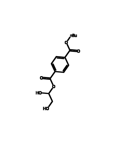 CCCCOC(=O)c1ccc(C(=O)OC(O)CO)cc1